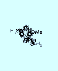 C=CC(=O)Nc1cc(Nc2nccc(-c3cn(C)c4ccccc34)n2)c(OC)cc1N(C)CCS(C)(=O)=O